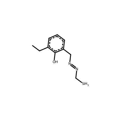 CCc1cccc(C/N=N/C[SiH3])c1O